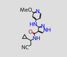 COc1cc(Nc2n[nH]cc2C(=O)NC(CC#N)C2CC2)ccn1